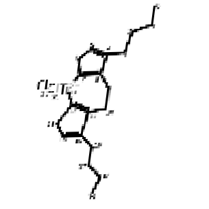 CCCCC1=CC[C]2=C1CCC1=[C](CC=C1CCCC)[Ti+2]2.[Cl-].[Cl-]